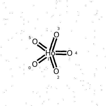 [O]=[Ho](=[O])(=[O])(=[O])=[O]